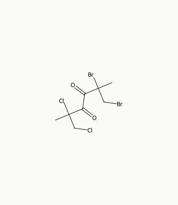 CC(Cl)(CCl)C(=O)C(=O)C(C)(Br)CBr